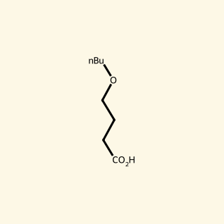 CCCCOCCCC(=O)O